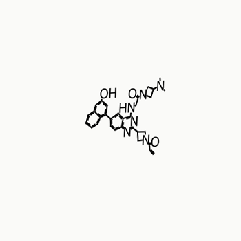 C=CC(=O)N1CC(c2nc(NCC(=O)N3CC(N(C)C)C3)c3cc(-c4cc(O)cc5ccccc45)ccc3n2)C1